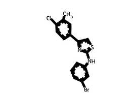 Cc1cc(-c2csc(Nc3cccc(Br)c3)n2)ccc1Cl